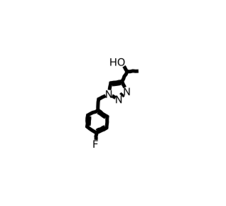 CC(O)c1cn(Cc2ccc(F)cc2)nn1